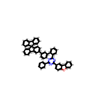 c1ccc(-c2nc(-c3ccc4oc5ccccc5c4c3)nc(-c3ccccc3-c3cccc(-c4ccc5c(c4)-c4ccccc4C54c5ccccc5-c5ccccc54)c3)n2)cc1